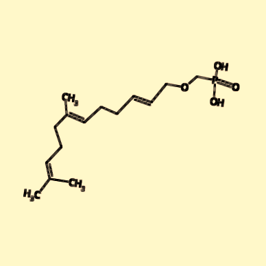 CC(C)=CCCC(C)=CCCC=CCOCP(=O)(O)O